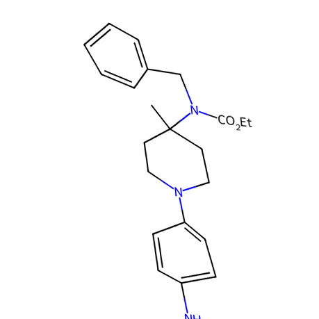 CCOC(=O)N(Cc1ccccc1)C1(C)CCN(c2ccc(N)cc2)CC1